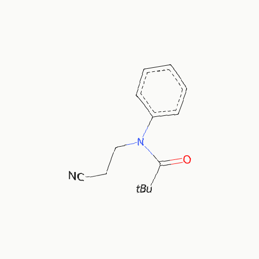 CC(C)(C)C(=O)N(CCC#N)c1ccccc1